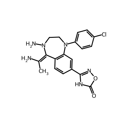 C/C(N)=C1\c2ccc(-c3noc(=O)[nH]3)cc2N(c2ccc(Cl)cc2)CCN1N